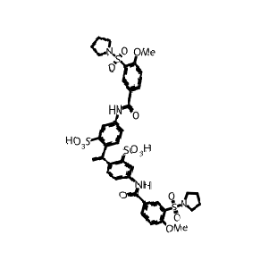 C=C(c1ccc(NC(=O)c2ccc(OC)c(S(=O)(=O)N3CCCC3)c2)cc1S(=O)(=O)O)c1ccc(NC(=O)c2ccc(OC)c(S(=O)(=O)N3CCCC3)c2)cc1S(=O)(=O)O